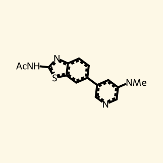 CNc1cncc(-c2ccc3nc(NC(C)=O)sc3c2)c1